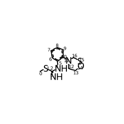 CSC(=N)Nc1ccccc1N1CCOSC1